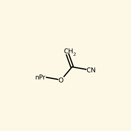 C=C(C#N)OCCC